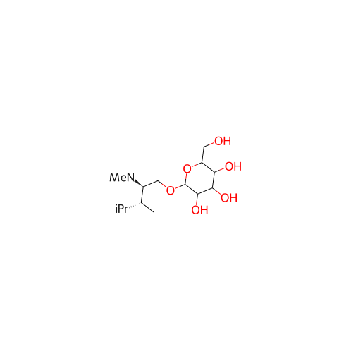 CN[C@@H](COC1OC(CO)C(O)C(O)C1O)[C@H](C)C(C)C